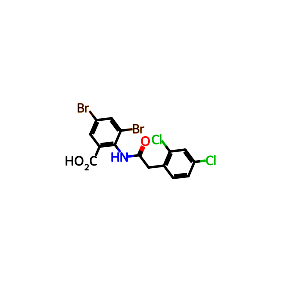 O=C(Cc1ccc(Cl)cc1Cl)Nc1c(Br)cc(Br)cc1C(=O)O